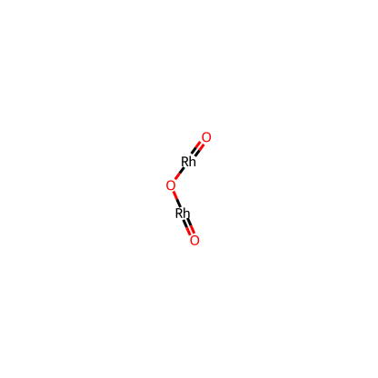 [O]=[Rh][O][Rh]=[O]